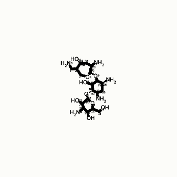 NCC1CO[C@H](OC2C(O)[C@@H](O[C@H]3OC(CO)[C@@H](O)C(N)C3O)C(N)C[C@@H]2N)C(N)C[C@@H]1O